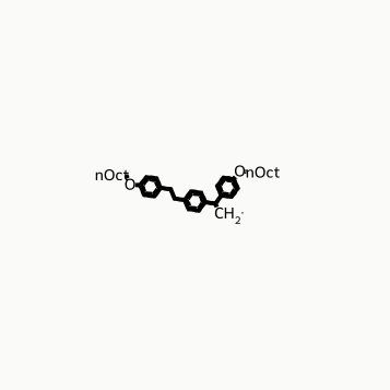 [CH2]C(c1ccc(CCc2ccc(OCCCCCCCC)cc2)cc1)c1ccc(OCCCCCCCC)cc1